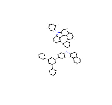 c1ccc(-c2cc(-c3ccccc3)cc(-c3ccc(N(c4cccc(-c5cccc6c5c5c7ccccc7ccc5n6-c5ccccc5)c4)c4ccc5ccccc5c4)cc3)c2)cc1